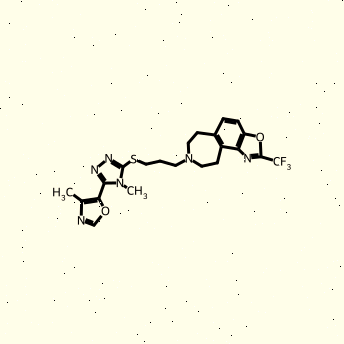 Cc1ncoc1-c1nnc(SCCCN2CCc3ccc4oc(C(F)(F)F)nc4c3CC2)n1C